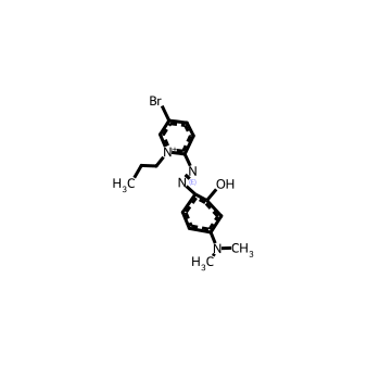 CCC[n+]1cc(Br)ccc1/N=N/c1ccc(N(C)C)cc1O